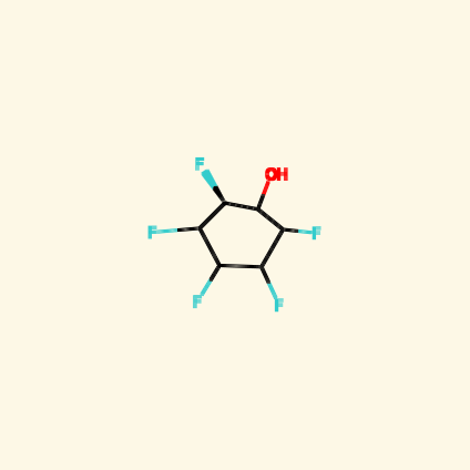 OC1C(F)C(F)C(F)C(F)[C@H]1F